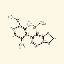 COc1cc(-c2cnc3c(c2C(C)C)CCC3)c(C)cn1